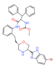 COC(=O)NC(C(=O)Nc1ccccc1CC[C@@H]1CN[C@H](c2nc3ccc(Br)cc3[nH]2)CO1)C(c1ccccc1)c1ccccc1